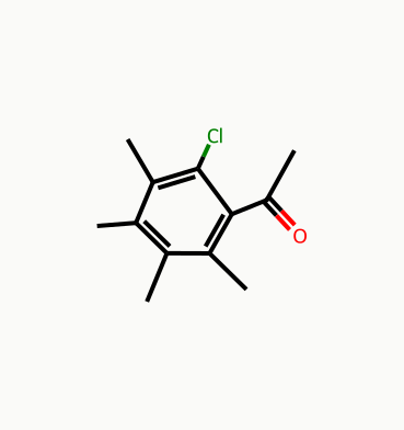 CC(=O)c1c(C)c(C)c(C)c(C)c1Cl